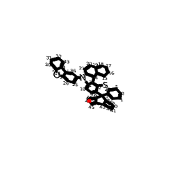 c1ccc2c(c1)Sc1c(ccc3c1c1c4ccccc4ccc1n3-c1ccc3oc4ccccc4c3c1)C21c2ccccc2-c2ccccc21